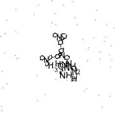 C/C(=C\C=C/N)C(N)N/C(=N\CC1=CNCC=C1)c1cccc(-n2c3ccc(-c4ccc5c(c4)c4ccccc4n5-c4ccccc4)cc3c3cc(-c4ccc5c(c4)c4ccccc4n5-c4ccccc4)ccc32)c1